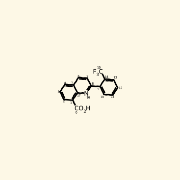 O=C(O)c1cccc2ccc(-c3ccccc3C(F)(F)F)nc12